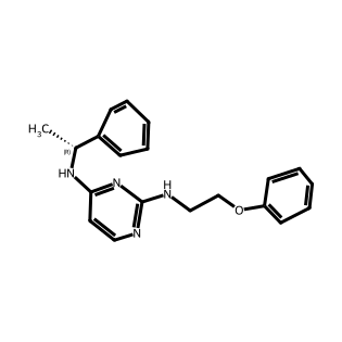 C[C@@H](Nc1ccnc(NCCOc2ccccc2)n1)c1ccccc1